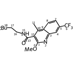 COc1nc2cc(C(F)(F)F)ccc2c(C)c1C(=O)NCCC(C)(C)C